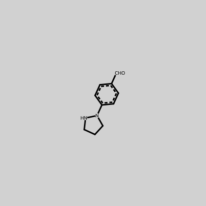 O=Cc1ccc(N2CCCN2)cc1